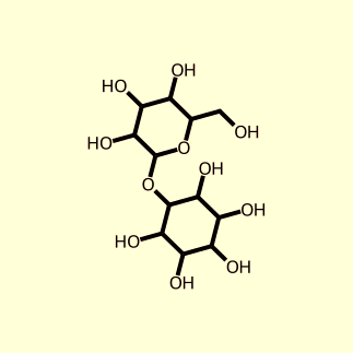 OCC1OC(OC2C(O)C(O)C(O)C(O)C2O)C(O)C(O)C1O